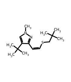 Cn1cc(C(C)(C)C)c(/C=C\SCC(C)(C)C)n1